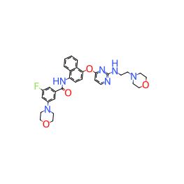 O=C(Nc1ccc(Oc2ccnc(NCCN3CCOCC3)n2)c2ccccc12)c1cc(F)cc(N2CCOCC2)c1